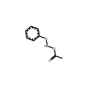 CC(=O)OBOc1ccccc1